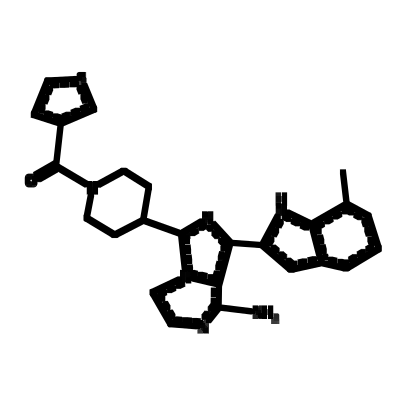 Cc1cccc2cc(-c3nc(C4CCN(C(=O)c5ccsc5)CC4)n4ccnc(N)c34)[nH]c12